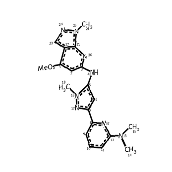 COc1cc(Nc2cc(-c3cccc(N(C)C)n3)nn2C)nc2c1cnn2C